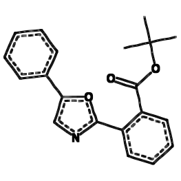 CC(C)(C)OC(=O)c1ccccc1-c1ncc(-c2ccccc2)o1